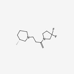 C=C(CCN1CCC[C@@H](C)C1)N1CCC(F)(F)C1